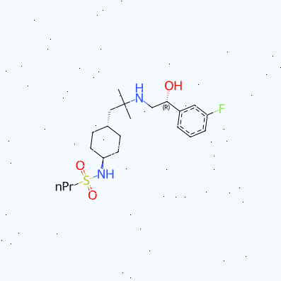 CCCS(=O)(=O)N[C@H]1CC[C@H](CC(C)(C)NC[C@H](O)c2cccc(F)c2)CC1